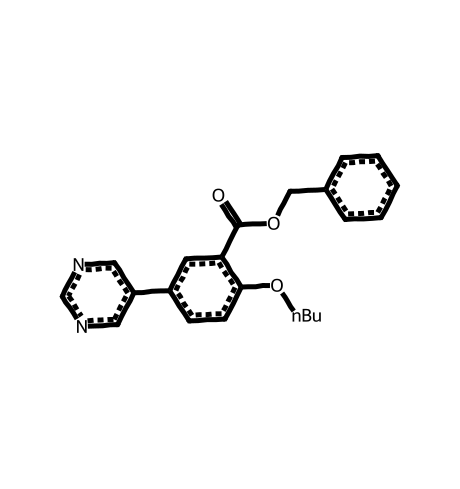 CCCCOc1ccc(-c2cncnc2)cc1C(=O)OCc1ccccc1